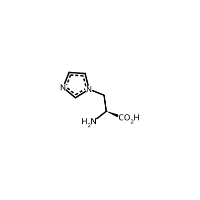 N[C@@H](Cn1ccnc1)C(=O)O